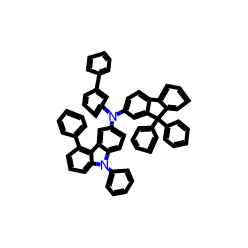 c1ccc(-c2cccc(N(c3ccc4c(c3)C(c3ccccc3)(c3ccccc3)c3ccccc3-4)c3ccc4c(c3)c3c(-c5ccccc5)cccc3n4-c3ccccc3)c2)cc1